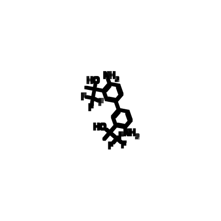 CC(O)(c1cc(-c2ccc(N)c(C(C)(O)C(F)(F)F)c2)ccc1N)C(F)(F)F